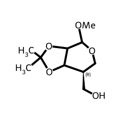 COC1OC[C@@H](CO)C2OC(C)(C)OC12